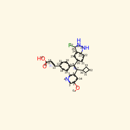 COc1cncc(/C(=C(\c2ccc(/C=C/C(=O)O)cc2)c2ccc3c(c2)C(F)NN3)C2CCC2)c1